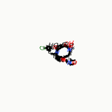 C[C@H]1COCCN1CCO[C@H]1/C=C/CCN(C)C(=O)C[C@](O)(C(=O)O)c2ccc3c(c2)N(CCCCc2cc(Cl)ccc2CO3)C[C@@H]2CC[C@H]21